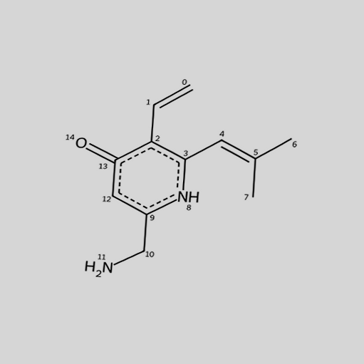 C=Cc1c(C=C(C)C)[nH]c(CN)cc1=O